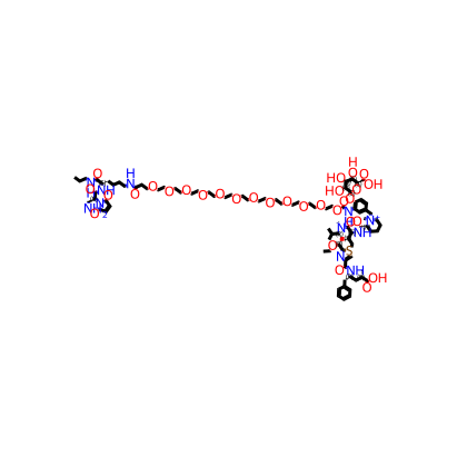 CCCNC(=O)[C@H](CCCCNC(=O)CCOCCOCCOCCOCCOCCOCCOCCOCCOCCOCCOCCOC(=O)Nc1cc(C[N+]2(C)CCCC[C@@H]2C(=O)N[C@H](C(=O)N(C)[C@H](C[C@@H](OCC)c2nc(C(=O)N[C@@H](Cc3ccccc3)C[C@H](C)C(=O)O)cs2)C(C)C)[C@@H](C)CC)ccc1O[C@@H]1O[C@H](C(=O)O)[C@@H](O)[C@H](O)[C@H]1O)NC(=O)[C@H](CN)N1C(=O)C=CC1=O